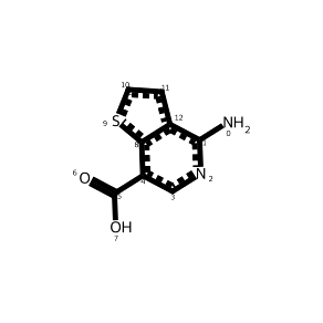 Nc1ncc(C(=O)O)c2sccc12